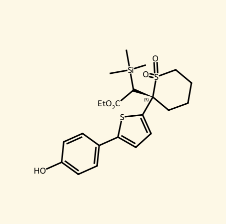 CCOC(=O)C([C@]1(c2ccc(-c3ccc(O)cc3)s2)CCCCS1(=O)=O)[Si](C)(C)C